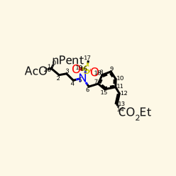 CCCCCC(CCCN(Cc1cccc(/C=C/C(=O)OCC)c1)S(C)(=O)=O)OC(C)=O